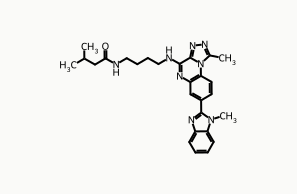 Cc1nnc2c(NCCCCNC(=O)CC(C)C)nc3cc(-c4nc5ccccc5n4C)ccc3n12